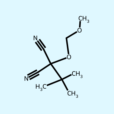 COCOC(C#N)(C#N)C(C)(C)C